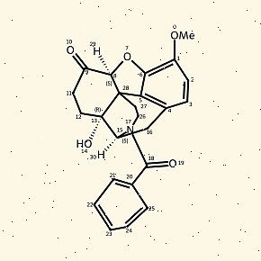 COc1ccc2c3c1O[C@@H]1C(=O)CC[C@]4(O)[C@H](C2)N(C(=O)c2ccccc2)CCC314